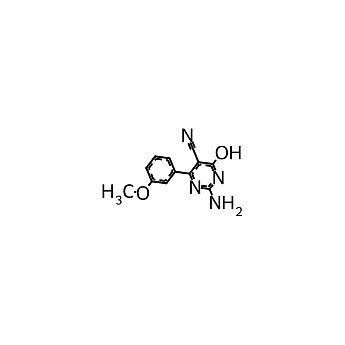 COc1cccc(-c2nc(N)nc(O)c2C#N)c1